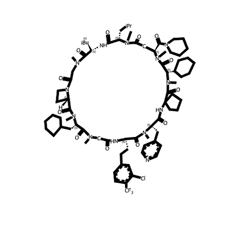 CC[C@H](C)[C@@H]1NC(=O)[C@H](CC(C)C)N(C)C(=O)C[C@@H](C(=O)N2CCCCC2)N(C)C(=O)[C@H](C2CCCCC2)N(C)C(=O)C2(CCCC2)NC(=O)[C@H](Cc2ccncc2)N(C)C(=O)[C@H](CCc2ccc(C(F)(F)F)c(Cl)c2)NC(=O)CN(C)C(=O)[C@H](CC2CCCCC2)N(C)C(=O)[C@@H]2CCN2C(=O)CN(C)C1=O